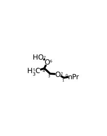 CCCCOCC(C)OO